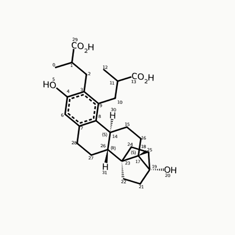 CC(Cc1c(O)cc2c(c1CC(C)C(=O)O)[C@H]1CC[C@]3(C)[C@]4(O)CC[C@@]3(CC4)[C@@H]1CC2)C(=O)O